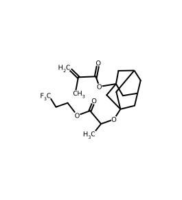 C=C(C)C(=O)OC12CC3CC(C1)CC(OC(C)C(=O)OCCC(F)(F)F)(C3)C2